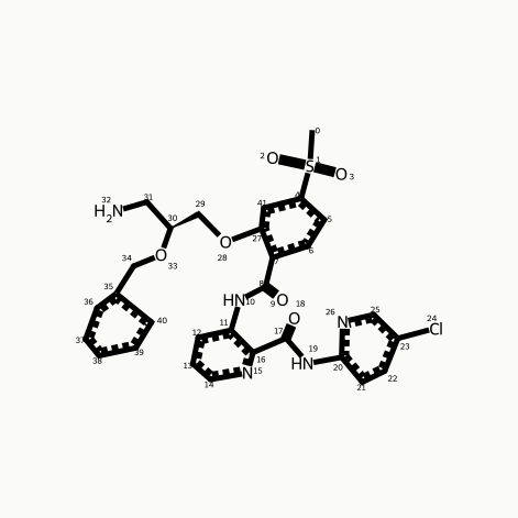 CS(=O)(=O)c1ccc(C(=O)Nc2cccnc2C(=O)Nc2ccc(Cl)cn2)c(OC[C@H](CN)OCc2ccccc2)c1